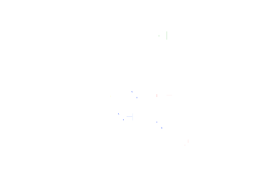 Oc1ccc(Cl)cc1CN(CCN1CCOCC1)C(=S)Nc1ccccc1